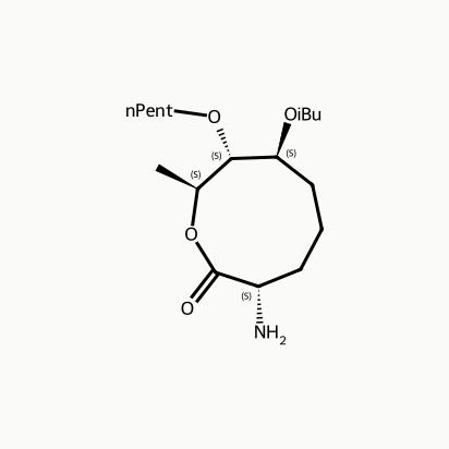 CCCCCO[C@H]1[C@H](C)OC(=O)[C@@H](N)CCC[C@@H]1OCC(C)C